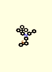 c1ccc(-c2ccc(N(c3ccc(-c4cccc5c4sc4ccccc45)cc3)c3ccc4c(c3)C(C3CCCCC3)(C3CCCCC3)c3ccccc3-4)cc2)cc1